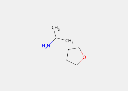 C1CCOC1.CC(C)N